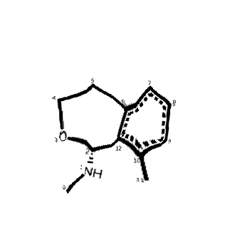 CN[C@@H]1OCCc2cccc(C)c21